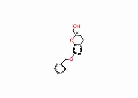 OC[C@H]1CCc2ccc(OCc3ccccc3)cc2O1